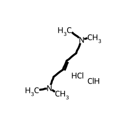 CN(C)CC=CCN(C)C.Cl.Cl